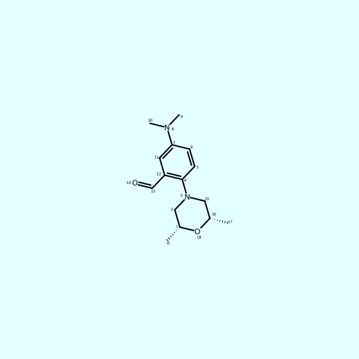 C[C@@H]1CN(c2ccc(N(C)C)cc2C=O)C[C@H](C)O1